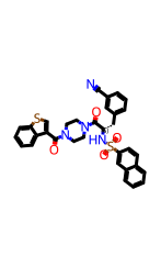 N#Cc1cccc(C[C@H](NS(=O)(=O)c2ccc3ccccc3c2)C(=O)N2CCN(C(=O)c3csc4ccccc34)CC2)c1